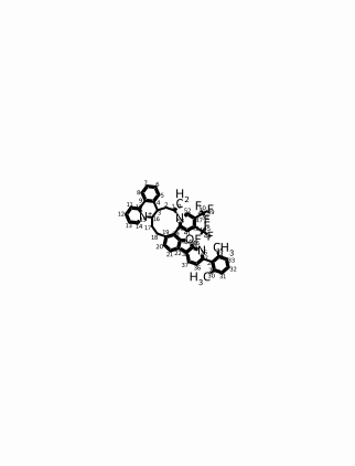 C=C1CC2c3ccccc3-c3cccc[n+]3C2CCc2ccc3c(oc4nc(-c5c(C)cccc5C)ccc43)c2-c2cc(C(F)(F)F)c(C(F)(F)F)c[n+]21